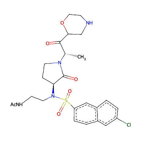 CC(=O)NCCN([C@H]1CCN([C@@H](C)C(=O)C2CNCCO2)C1=O)S(=O)(=O)c1ccc2cc(Cl)ccc2c1